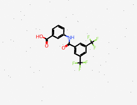 O=C(O)c1cccc(NC(=O)c2cc(C(F)(F)F)cc(C(F)(F)F)c2)c1